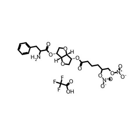 NC(Cc1ccccc1)C(=O)O[C@@H]1CO[C@H]2[C@@H]1OC[C@H]2OC(=O)CCCC(CO[N+](=O)[O-])O[N+](=O)[O-].O=C(O)C(F)(F)F